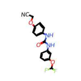 N#CCOc1ccc(NC(=O)Nc2cccc(OC(F)F)c2)cc1